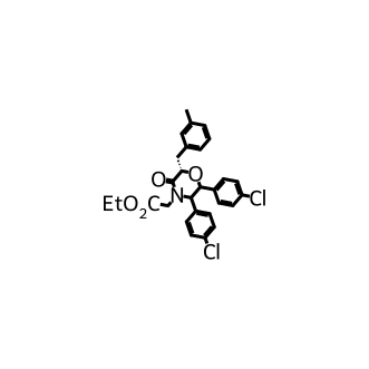 CCOC(=O)CN1C(=O)[C@H](Cc2cccc(C)c2)OC(c2ccc(Cl)cc2)C1c1ccc(Cl)cc1